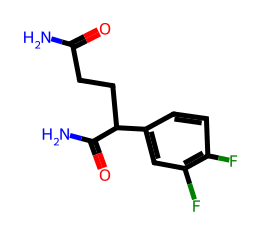 NC(=O)CCC(C(N)=O)c1ccc(F)c(F)c1